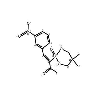 CC(=O)/C(=C/c1cccc([N+](=O)[O-])c1)P1(=O)OCC(C)(C)CO1